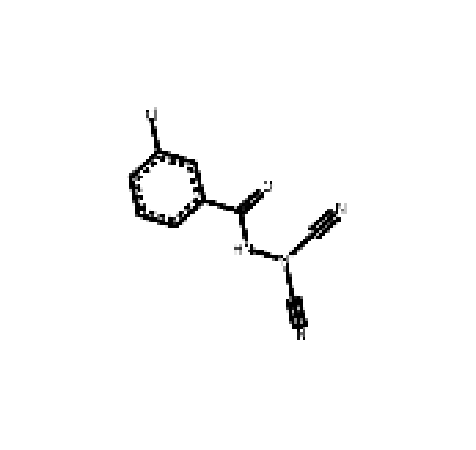 N#CN(C#N)NC(=O)c1cccc(Cl)c1